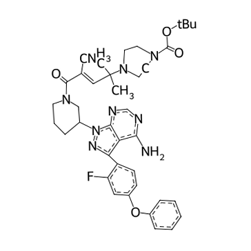 CC(C)(C)OC(=O)N1CCN(C(C)(C)C=C(C#N)C(=O)N2CCCC(n3nc(-c4ccc(Oc5ccccc5)cc4F)c4c(N)ncnc43)C2)CC1